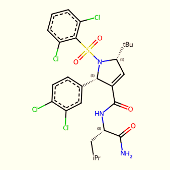 CC(C)C[C@H](NC(=O)C1=C[C@@H](C(C)(C)C)N(S(=O)(=O)c2c(Cl)cccc2Cl)[C@H]1c1ccc(Cl)c(Cl)c1)C(N)=O